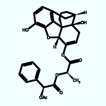 CC(=O)O[C@H](C(=O)O[C@@H](C)C(=O)OC1=CC[C@@]2(O)[C@@H]3CCC[C@@]24c2c(ccc(O)c2O[C@@H]14)C3)c1ccccc1